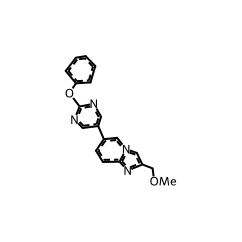 COCc1cn2cc(-c3cnc(Oc4ccccc4)nc3)ccc2n1